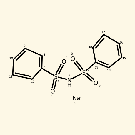 O=S(=O)(NS(=O)(=O)c1ccccc1)c1ccccc1.[Na]